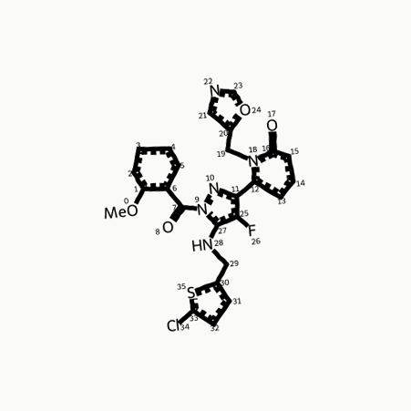 COc1ccccc1C(=O)n1nc(-c2cccc(=O)n2Cc2cnco2)c(F)c1NCc1ccc(Cl)s1